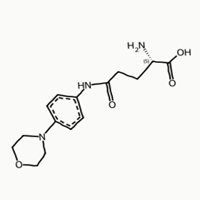 N[C@@H](CCC(=O)Nc1ccc(N2CCOCC2)cc1)C(=O)O